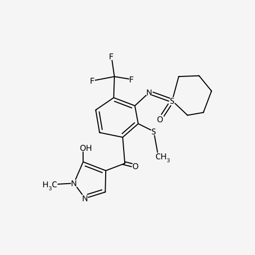 CSc1c(C(=O)c2cnn(C)c2O)ccc(C(F)(F)F)c1N=S1(=O)CCCCC1